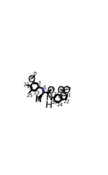 COc1cc(/C=C(\C#N)C(=O)Nc2ccc3c(c2)S(=O)(=O)C=C3)cc(C)c1C